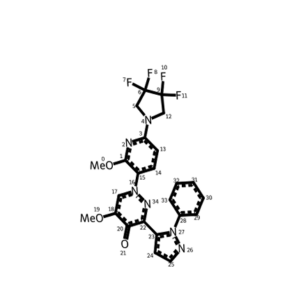 COc1nc(N2CC(F)(F)C(F)(F)C2)ccc1-n1cc(OC)c(=O)c(-c2ccnn2-c2ccccc2)n1